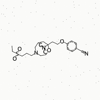 CCS(=O)(=O)CCCN1CC2CCOC(C1)CN(CCOc1ccc(C#N)cc1)C2